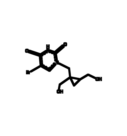 O=c1[nH]c(=O)n(CC2(CO)CC2CO)cc1Br